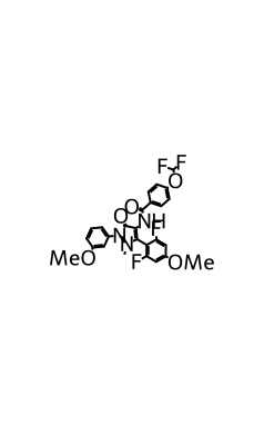 COc1cccc(-n2c(=O)c(NC(=O)c3ccc(OC(F)F)cc3)c(-c3c(F)cc(OC)cc3F)n2C)c1